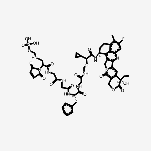 CC[C@@]1(O)C(=O)OCc2c1cc1n(c2=O)Cc2c-1nc1cc(F)c(C)c3c1c2[C@@H](NC(=O)C(OCNC(=O)CNC(=O)[C@H](Cc1ccccc1)NC(=O)CNC(=O)CNC(=O)C(CNCOP(=O)(O)O)N1C(=O)C=CC1=O)C1CC1)CC3